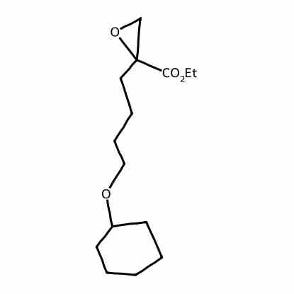 CCOC(=O)C1(CCCCOC2CCCCC2)CO1